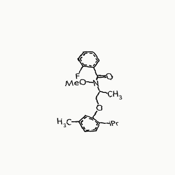 CON(C(=O)c1ccccc1F)C(C)COc1cc(C)ccc1C(C)C